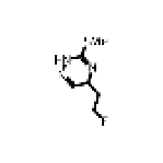 CSC1=NC(CCF)C=NN1